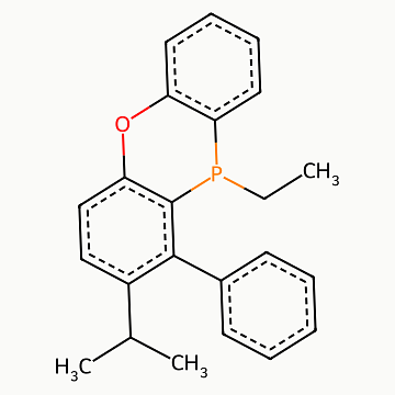 CCP1c2ccccc2Oc2ccc(C(C)C)c(-c3ccccc3)c21